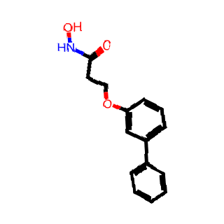 O=C(CCOc1cccc(-c2ccccc2)c1)NO